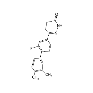 Cc1ccc(-c2ccc(C3=NNC(=O)CC3)cc2F)cc1C